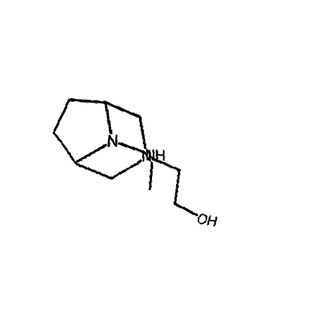 CNN1C2CCC1CN(CCO)C2